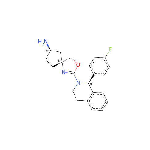 N[C@@H]1CC[C@]2(COC(N3CCc4ccccc4[C@@H]3c3ccc(F)cc3)=N2)C1